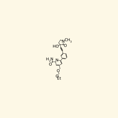 CCOCOCc1cc(C(N)=O)nc(-c2cccc(C#C[C@]3(O)CCN(C)C3=O)c2)c1